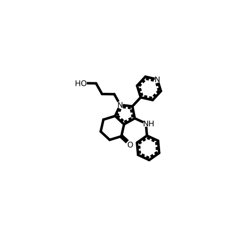 O=C1CCCc2c1c(Nc1ccccc1)c(-c1ccncc1)n2CCCO